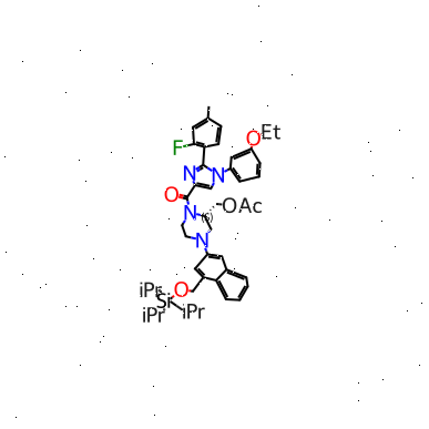 CCOc1cccc(-n2cc(C(=O)N3CCN(c4cc(CO[Si](C(C)C)(C(C)C)C(C)C)c5ccccc5c4)C[C@H]3COC(C)=O)nc2-c2ccc(C)cc2F)c1